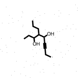 [CH2]CC#CC(O)C(CCC)C(O)CC